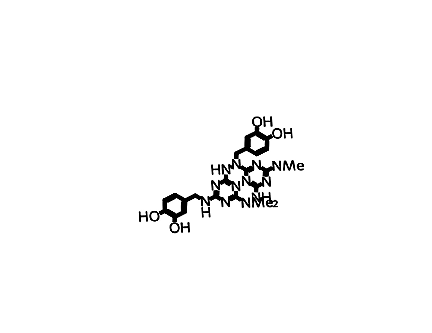 CNc1nc(NCc2ccc(O)c(O)c2)nc(NN(Cc2ccc(O)c(O)c2)c2nc(N)nc(NC)n2)n1